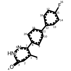 Cc1cc(=O)[nH]nc1-c1ccc(-c2ccc(F)cc2)cc1